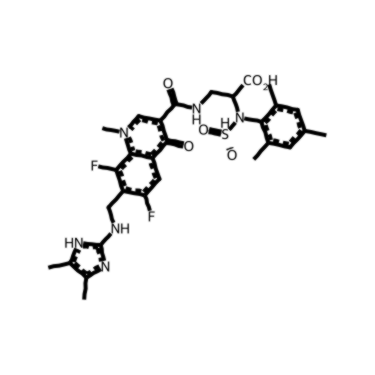 Cc1cc(C)c(N(C(CNC(=O)c2cn(C)c3c(F)c(CNc4nc(C)c(C)[nH]4)c(F)cc3c2=O)C(=O)O)[SH](=O)=O)c(C)c1